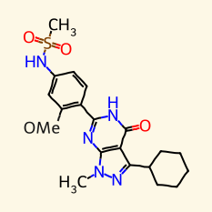 COc1cc(NS(C)(=O)=O)ccc1-c1nc2c(c(C3CCCCC3)nn2C)c(=O)[nH]1